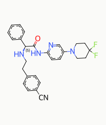 N#Cc1ccc(CCN[C@H](C(=O)Nc2ccc(N3CCC(F)(F)CC3)cn2)c2ccccc2)cc1